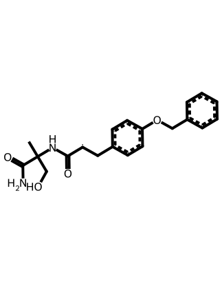 CC(CO)(NC(=O)[CH]Cc1ccc(OCc2ccccc2)cc1)C(N)=O